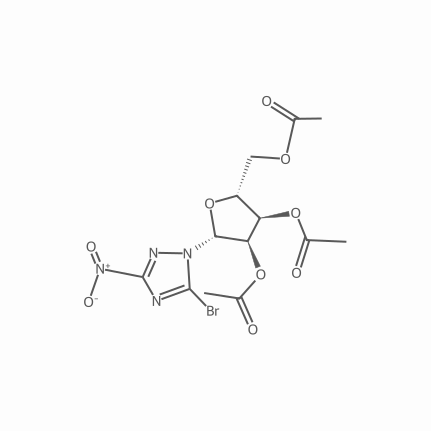 CC(=O)OC[C@H]1O[C@@H](n2nc([N+](=O)[O-])nc2Br)[C@H](OC(C)=O)[C@@H]1OC(C)=O